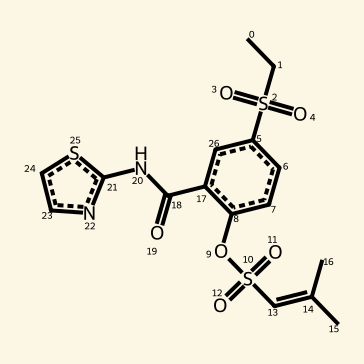 CCS(=O)(=O)c1ccc(OS(=O)(=O)C=C(C)C)c(C(=O)Nc2nccs2)c1